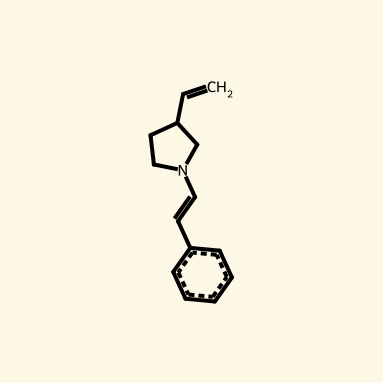 C=CC1CCN(C=Cc2ccccc2)C1